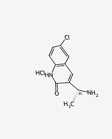 C[C@@H](N)c1cc2cc(Cl)ccc2[nH]c1=O.Cl